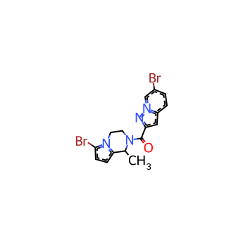 CC1c2ccc(Br)n2CCN1C(=O)c1cc2ccc(Br)cn2n1